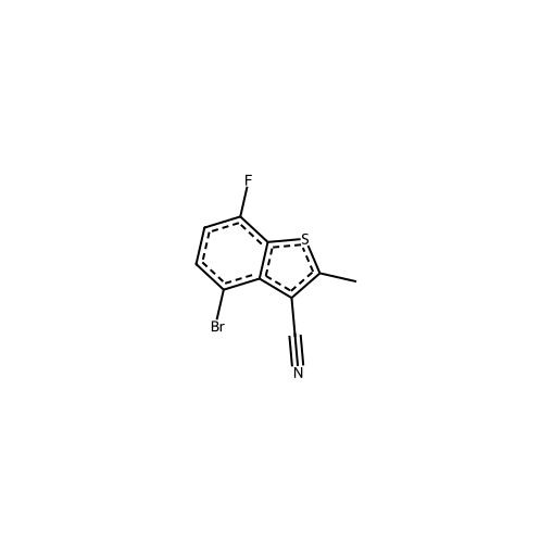 Cc1sc2c(F)ccc(Br)c2c1C#N